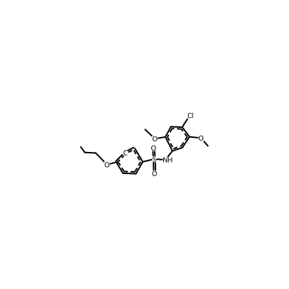 CCCOc1ccc(S(=O)(=O)Nc2cc(OC)c(Cl)cc2OC)cc1